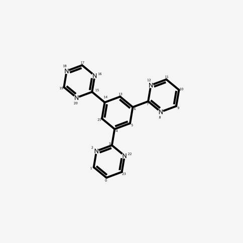 c1cnc(-c2cc(-c3ncccn3)cc(-c3ncncn3)c2)nc1